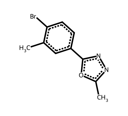 Cc1nnc(-c2ccc(Br)c(C)c2)o1